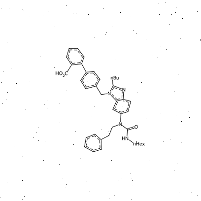 CCCCCCNC(=O)N(CCc1ccccc1)c1ccc2nc(CCCC)n(Cc3ccc(-c4ccccc4C(=O)O)cc3)c2c1